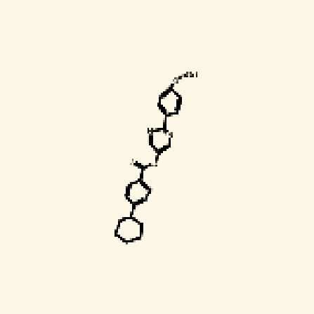 CCCCCCCCOc1ccc(-c2ncc(OC(=O)c3ccc(C4CCCCC4)cc3)cn2)cc1